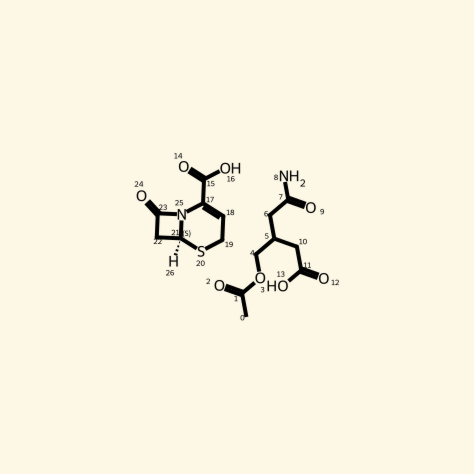 CC(=O)OCC(CC(N)=O)CC(=O)O.O=C(O)C1=CCS[C@H]2CC(=O)N12